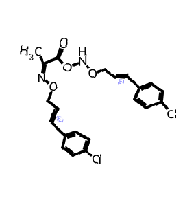 CC(=NOC/C=C/c1ccc(Cl)cc1)C(=O)ONOC/C=C/c1ccc(Cl)cc1